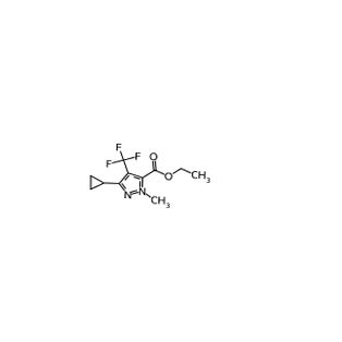 CCOC(=O)c1c(C(F)(F)F)c(C2CC2)nn1C